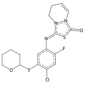 O=c1sc(=Nc2cc(SC3CCCCO3)c(Cl)cc2F)n2n1C=CCC2